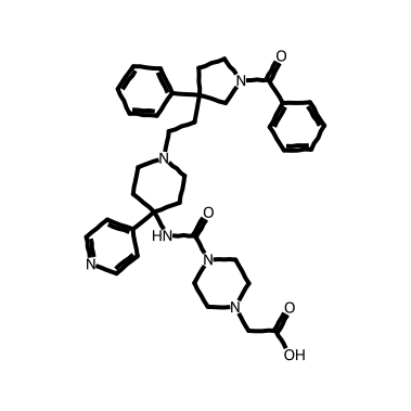 O=C(O)CN1CCN(C(=O)NC2(c3ccncc3)CCN(CCC3(c4ccccc4)CCN(C(=O)c4ccccc4)C3)CC2)CC1